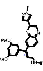 COc1cc(OC)cc(/C(=C/CNC(C)C)c2ccc3ncc(-c4cnn(C)c4)nc3c2)c1